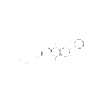 CCn1c(=O)n(CC(=O)NCC2CCCO2)c(=O)c2cnc(-c3ccccc3)nc21